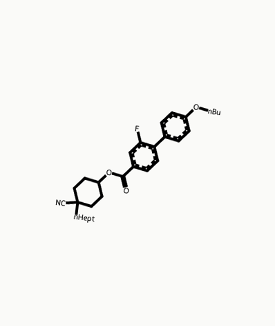 CCCCCCCC1(C#N)CCC(OC(=O)c2ccc(-c3ccc(OCCCC)cc3)c(F)c2)CC1